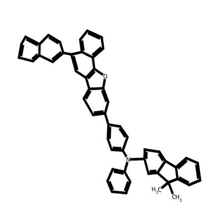 CC1(C)c2ccccc2-c2ccc(N(c3ccccc3)c3ccc(-c4ccc5c(c4)oc4c6ccccc6c(-c6ccc7ccccc7c6)cc54)cc3)cc21